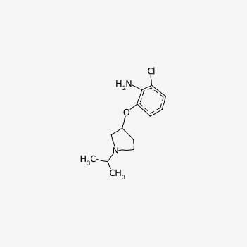 CC(C)N1CCC(Oc2cccc(Cl)c2N)C1